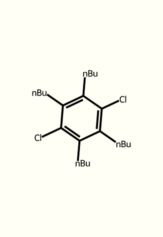 CCCCc1c(Cl)c(CCCC)c(CCCC)c(Cl)c1CCCC